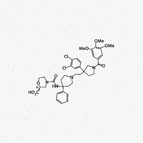 COc1cc(C(=O)N2CCC(CCN3CCC(NC(=O)N4CCO[C@H](C(=O)O)C4)(c4ccccc4)CC3)(c3ccc(Cl)c(Cl)c3)C2)cc(OC)c1OC